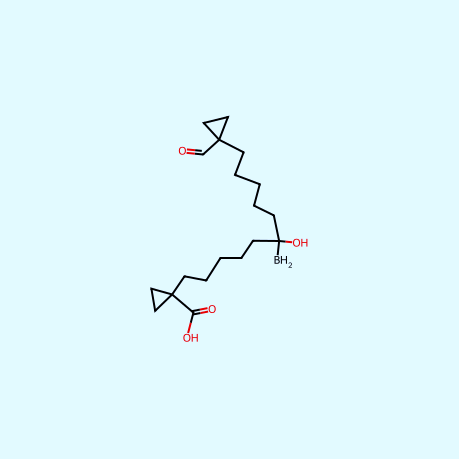 BC(O)(CCCCCC1(C=O)CC1)CCCCCC1(C(=O)O)CC1